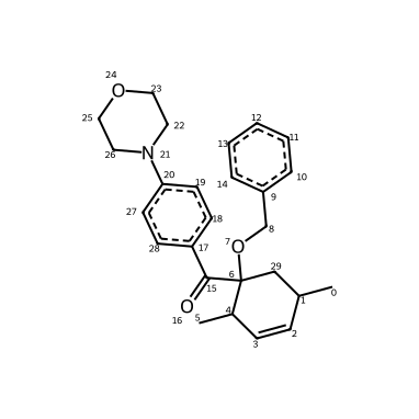 CC1C=CC(C)C(OCc2ccccc2)(C(=O)c2ccc(N3CCOCC3)cc2)C1